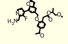 COCC(C)OC(=O)Cc1ccc(C(C)=O)cc1OCc1cc(-c2ccnc(CN)c2F)c2occc2c1